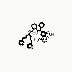 COc1cc([C@@H](C(=O)N2CCCC[C@H]2C(=O)OC(CCCc2cccnc2)CCCc2cccnc2)C2CCCCC2)cc(OC)c1OC